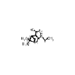 CCNC1CC2CC(C1C(F)F)C2(C)C